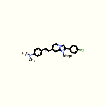 CCCCCCC[n+]1c(-c2ccc(Cl)cc2)cn2ccc(/C=C/c3ccc(N(C)C)cc3)cc21